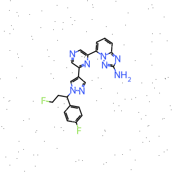 Nc1nc2cccc(-c3cncc(-c4cnn(C(CCF)c5ccc(F)cc5)c4)n3)n2n1